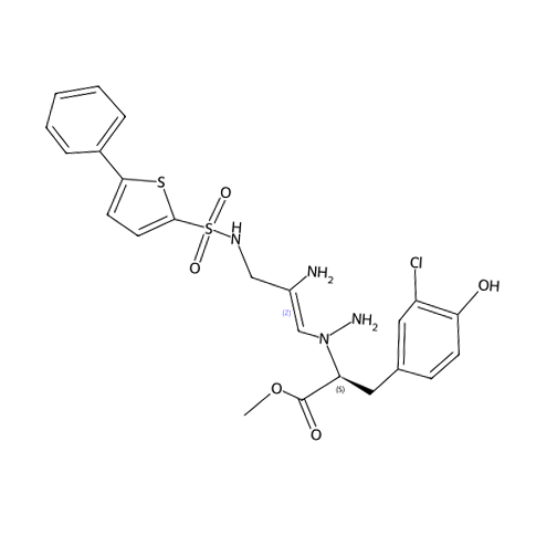 COC(=O)[C@H](Cc1ccc(O)c(Cl)c1)N(N)/C=C(\N)CNS(=O)(=O)c1ccc(-c2ccccc2)s1